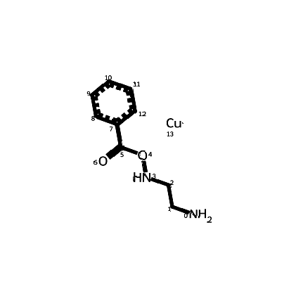 NCCNOC(=O)c1ccccc1.[Cu]